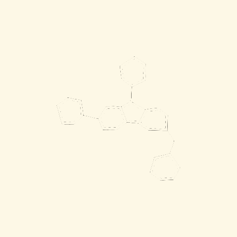 c1ccc(Cc2ccc3c(c2)c2ccc(-c4ccccc4)cc2n3-c2ccccc2)cc1